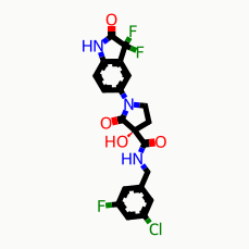 O=C1Nc2ccc(N3CC[C@@](O)(C(=O)NCc4cc(F)cc(Cl)c4)C3=O)cc2C1(F)F